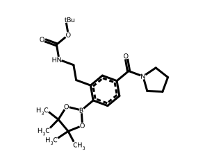 CC(C)(C)OC(=O)NCCc1cc(C(=O)N2CCCC2)ccc1B1OC(C)(C)C(C)(C)O1